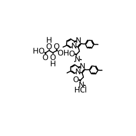 Cc1ccc(-c2nc3ccc(C)cn3c2CC(=O)N(C)C)cc1.Cc1ccc(-c2nc3ccc(C)cn3c2CC(=O)N(C)C)cc1.Cl.O=C(O)C(O)C(O)C(=O)O